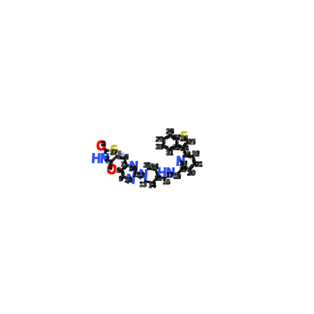 O=C1NC(=O)/C(=C\c2ccnc(N3CCC(CNCc4cccc(-c5csc6ccccc56)n4)CC3)n2)S1